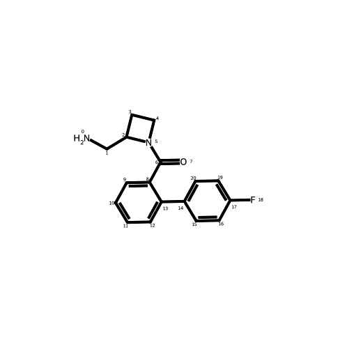 NCC1CCN1C(=O)c1ccccc1-c1ccc(F)cc1